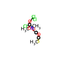 COc1c(Cl)cc(OCC=C(Cl)Cl)cc1/C(C)=N/OCc1ccc(Oc2ccc(SC)cc2)cc1